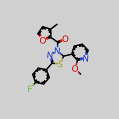 COc1ncccc1C1SC(c2ccc(F)cc2)=NN1C(=O)c1occc1C